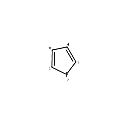 C1=C[I]C=C1